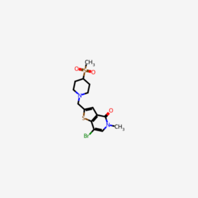 Cn1cc(Br)c2sc(CN3CCC(S(C)(=O)=O)CC3)cc2c1=O